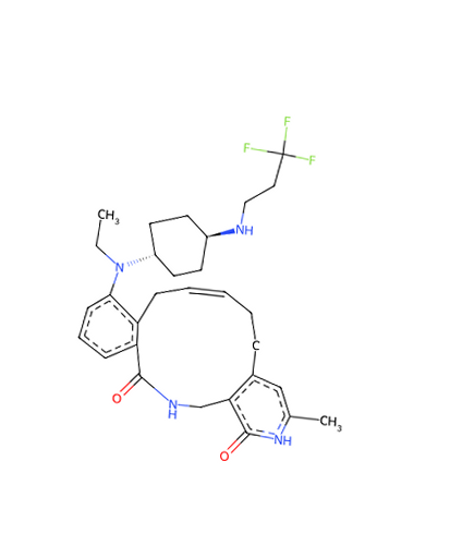 CCN(c1cccc2c1CC=CCCc1cc(C)[nH]c(=O)c1CNC2=O)[C@H]1CC[C@H](NCCC(F)(F)F)CC1